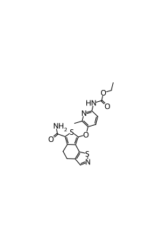 CCOC(=O)Nc1ccc(Oc2sc(C(N)=O)c3c2-c2sncc2CC3)c(C)n1